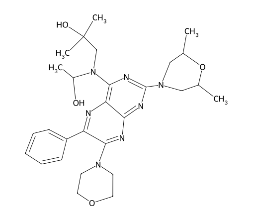 CC1CN(c2nc(N(CC(C)(C)O)C(C)O)c3nc(-c4ccccc4)c(N4CCOCC4)nc3n2)CC(C)O1